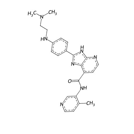 Cc1ccncc1NC(=O)c1ccnc2[nH]c(-c3ccc(NCCN(C)C)cc3)nc12